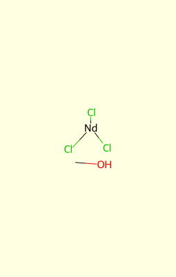 CO.[Cl][Nd]([Cl])[Cl]